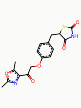 Cc1nc(C(=O)COc2ccc(CC3SC(=O)NC3=O)cc2)c(C)o1